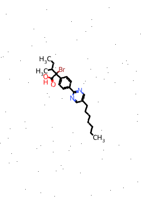 CCCCCCCc1cnc(-c2ccc(C(Br)(C(=O)O)C(C)CC)cc2)nc1